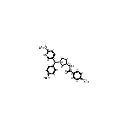 COc1ccc(C(c2ccc(C#N)cc2)N2CC[C@@H](NC(=O)c3ccc(C(F)(F)F)cc3)C2)cn1